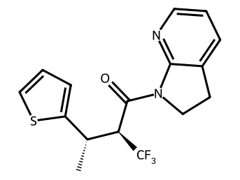 C[C@H](c1cccs1)[C@@H](C(=O)N1CCc2cccnc21)C(F)(F)F